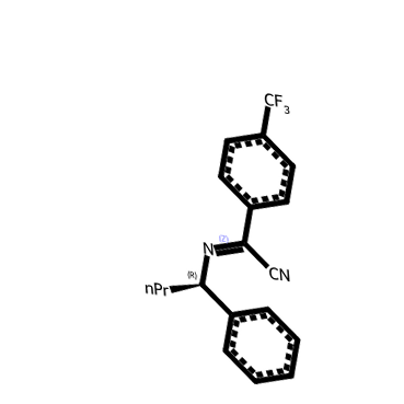 CCC[C@@H](/N=C(\C#N)c1ccc(C(F)(F)F)cc1)c1ccccc1